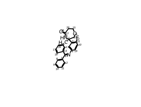 C[C@@]1(c2cc(N=C(c3ccccc3)c3ccccc3)ccc2F)COCCC(=O)N1